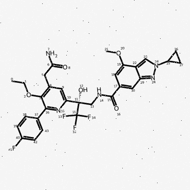 CCOc1c(CC(N)=O)cc([C@@](O)(CNC(=O)c2cc(OC)c3cn(C4CC4)nc3c2)C(F)(F)F)nc1-c1ccc(F)cc1